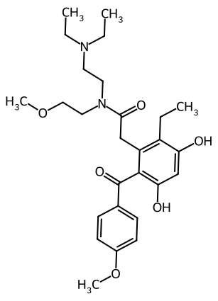 CCc1c(O)cc(O)c(C(=O)c2ccc(OC)cc2)c1CC(=O)N(CCOC)CCN(CC)CC